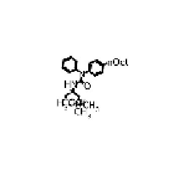 CCCCCCCCc1ccc(N(C(=O)N[C@H](CC(=O)[O-])C[N+](C)(C)C)c2ccccc2)cc1